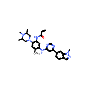 C=CC(=O)Nc1cc(Nc2cc(-c3ccc4cnn(C)c4c3)ncn2)c(OC)cc1N1CC(C)N(C)C(C)C1